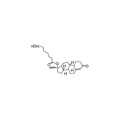 C#C[C@]1(OC(=O)CCCCCCCCCCCCCCC)CC[C@H]2[C@@H]3CCC4=CC(=O)CC[C@@H]4[C@H]3CC[C@@]21C